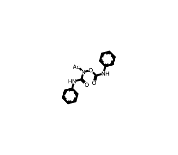 CC(=O)N(OC(=O)Nc1ccccc1)C(=O)Nc1ccccc1